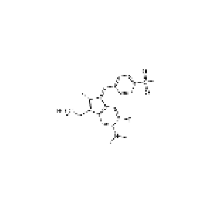 CC1=C(CC(=O)O)c2cc(N(C)C)c(F)cc2C1=Cc1ccc(S(C)(=O)=O)cc1